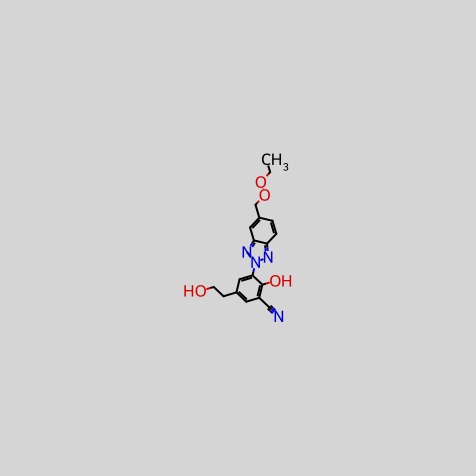 CCOOCc1ccc2nn(-c3cc(CCO)cc(C#N)c3O)nc2c1